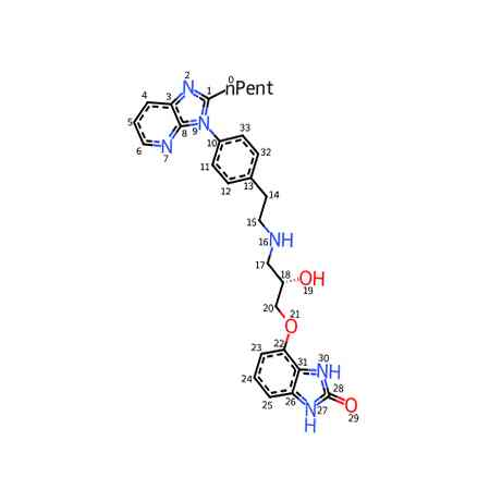 CCCCCc1nc2cccnc2n1-c1ccc(CCNC[C@H](O)COc2cccc3[nH]c(=O)[nH]c23)cc1